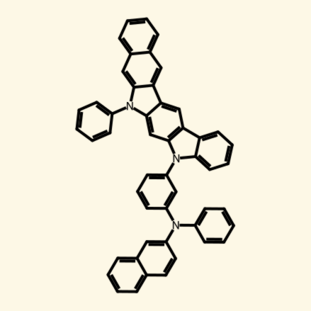 c1ccc(N(c2cccc(-n3c4ccccc4c4cc5c6cc7ccccc7cc6n(-c6ccccc6)c5cc43)c2)c2ccc3ccccc3c2)cc1